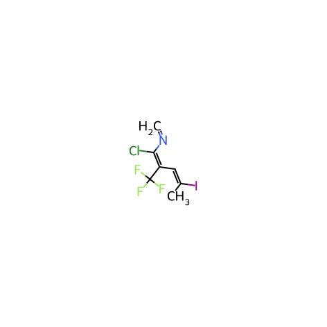 C=N/C(Cl)=C(\C=C(/C)I)C(F)(F)F